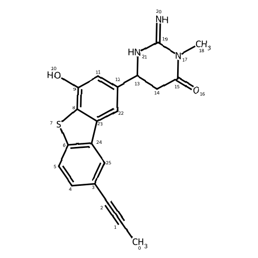 CC#Cc1ccc2sc3c(O)cc(C4CC(=O)N(C)C(=N)N4)cc3c2c1